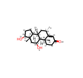 C[C@H]1C[C@@H]2[C@H]([C@@H](O)C[C@]3(C)[C@@H](O)CC[C@@H]23)[C@@]2(C)CCC(=O)C=C12